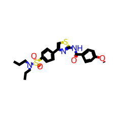 CCCN(CCC)S(=O)(=O)c1ccc(-c2csc(NC(=O)c3ccc(OC)cc3)n2)cc1